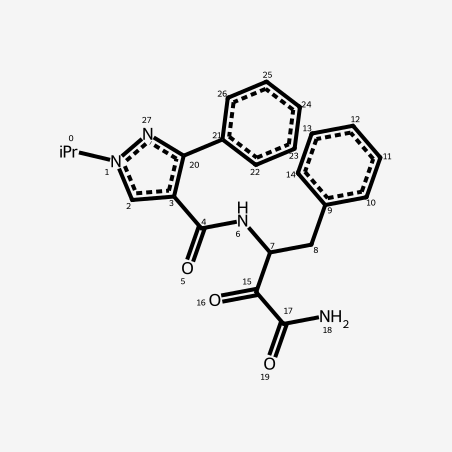 CC(C)n1cc(C(=O)NC(Cc2ccccc2)C(=O)C(N)=O)c(-c2ccccc2)n1